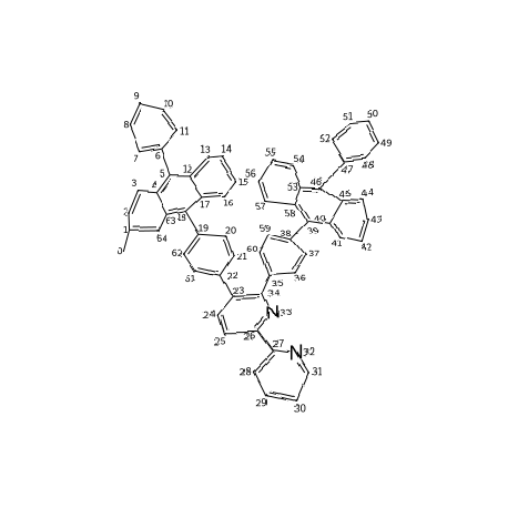 Cc1ccc2c(-c3ccccc3)c3ccccc3c(-c3ccc(-c4ccc(-c5ccccn5)nc4-c4ccc(-c5c6ccccc6c(-c6ccccc6)c6ccccc56)cc4)cc3)c2c1